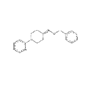 [c]1ccc(N2CCC(=NOCc3ccccc3)CC2)nc1